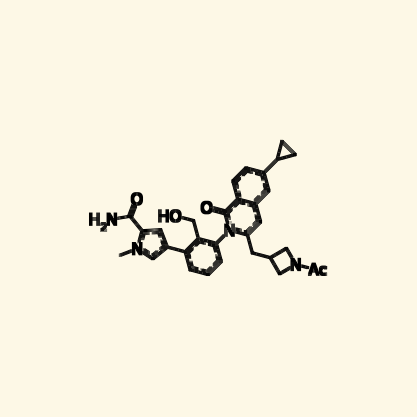 CC(=O)N1CC(Cc2cc3cc(C4CC4)ccc3c(=O)n2-c2cccc(-c3cc(C(N)=O)n(C)c3)c2CO)C1